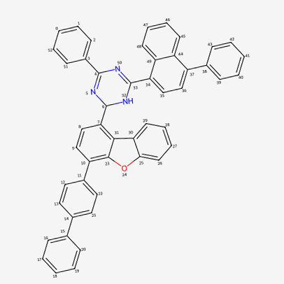 c1ccc(C2=NC(c3ccc(-c4ccc(-c5ccccc5)cc4)c4oc5ccccc5c34)NC(c3ccc(-c4ccccc4)c4ccccc34)=N2)cc1